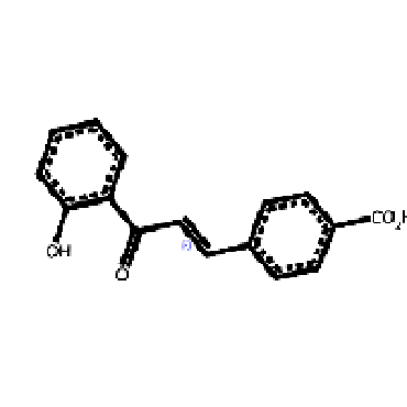 O=C(O)c1ccc(/C=C/C(=O)c2ccccc2O)cc1